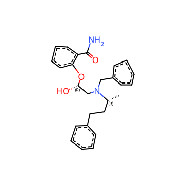 C[C@H](CCc1ccccc1)N(Cc1ccccc1)C[C@H](O)Oc1ccccc1C(N)=O